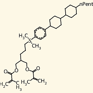 C=C(C)C(=O)OCC(CCCS(C)(C)c1ccc(C2CCC(C3CCC(CCCCC)CC3)CC2)cc1)COC(=O)C(=C)C